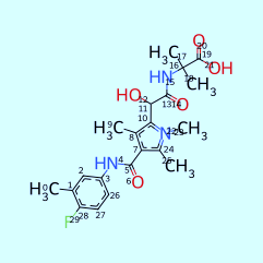 Cc1cc(NC(=O)c2c(C)c(C(O)C(=O)NC(C)(C)C(=O)O)n(C)c2C)ccc1F